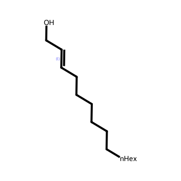 CCCCCCCCCCCC/C=C/CO